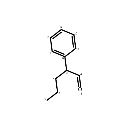 CCCC(C=O)c1ccccc1